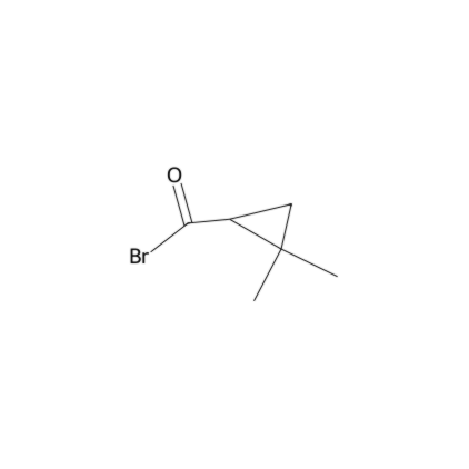 CC1(C)CC1C(=O)Br